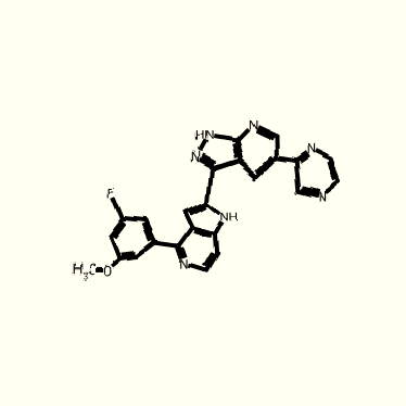 COc1cc(F)cc(-c2nccc3[nH]c(-c4n[nH]c5ncc(-c6cnccn6)cc45)cc23)c1